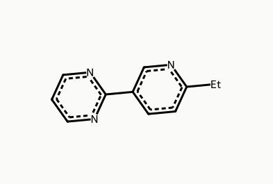 CCc1ccc(-c2ncccn2)cn1